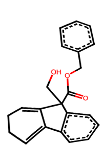 O=C(OCc1ccccc1)C1(CO)C2=CCCC=C2c2ccccc21